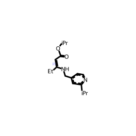 CC/C(=C/C(=O)OC(C)C)NCc1ccnc(C(C)C)c1